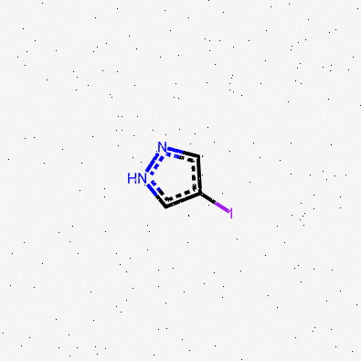 Ic1[c]n[nH]c1